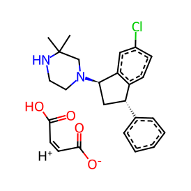 CC1(C)CN([C@@H]2C[C@@H](c3ccccc3)c3ccc(Cl)cc32)CCN1.O=C([O-])/C=C\C(=O)O.[H+]